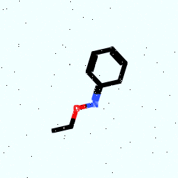 CCON=C1C=C[C]=CC1